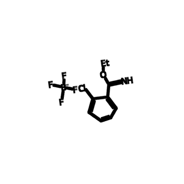 CCOC(=N)c1ccccc1Cl.F[B-](F)(F)F